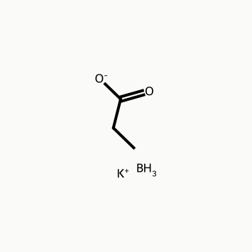 B.CCC(=O)[O-].[K+]